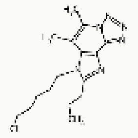 CCCc1nc2c(c(C)c(C)n3nnnc23)n1CCCCCCl